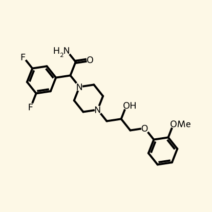 COc1ccccc1OCC(O)CN1CCN(C(C(N)=O)c2cc(F)cc(F)c2)CC1